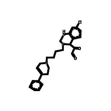 O=CC(=O)C1c2ccc(Cl)cc2NCN1CCCCN1CC=C(c2ccccc2)CC1